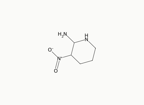 NC1NCCCC1[N+](=O)[O-]